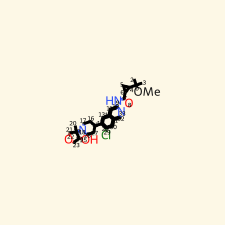 COC(C)(C)C1CC1C(=O)Nc1cc2cc(C3CCN(C4(C)COCC4O)CC3)c(Cl)cc2cn1